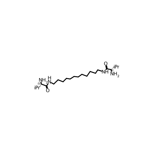 CC(C)[C@H](N)C(=O)NCCCCCCCCCCCCNC(=O)[C@@H](N)C(C)C